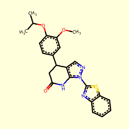 COc1cc(C2CC(=O)Nc3c2cnn3-c2nc3ccccc3s2)ccc1OC(C)C